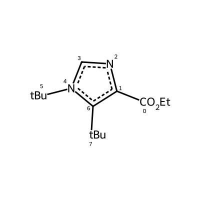 CCOC(=O)c1ncn(C(C)(C)C)c1C(C)(C)C